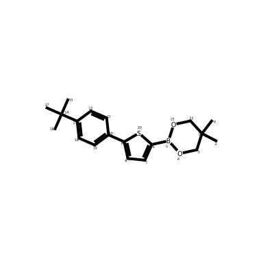 CC1(C)COB(c2ccc(-c3ccc(C(C)(C)C)cc3)s2)OC1